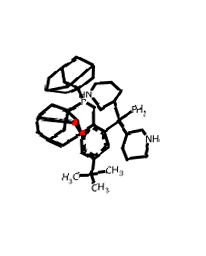 CC(C)(C)c1ccc(CP(C23CC4CC(CC(C4)C2)C3)C23CC4CC(CC(C4)C2)C3)c(C(P)(C2CCCNC2)C2CCCNC2)c1